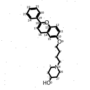 OC1CCN(CCCCOc2ccc3c(c2)CC=C(c2ccccc2)O3)CC1